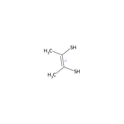 C/C(S)=C(\C)S